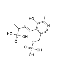 Cc1ncc(COP(=O)(O)O)c(C=NC(C)P(=O)(O)O)c1O